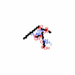 CCCCCCCCCCCCCCC(C)OC(=O)C(CCC(=O)OCCC)NC(=O)C(CCCCNC(=O)C(N)CCC(=O)O)NC(=O)C(N)CC(=O)O